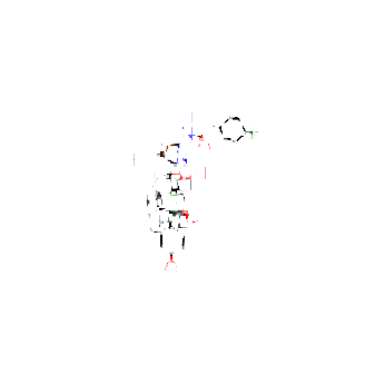 C[C@@H]1C[C@H]2[C@@H]3CCC4=CC(=O)C=C[C@]4(C)[C@@]3(F)[C@@H](O)C[C@]2(C)[C@@]1(O)c1csc(NC(=O)Cc2ccc(F)cc2)n1